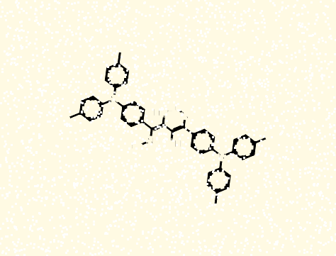 CCN/C(=C(C=O)\C(C=O)=C(/NCC)c1ccc(N(c2ccc(C)cc2)c2ccc(C)cc2)cc1)c1ccc(N(c2ccc(C)cc2)c2ccc(C)cc2)cc1